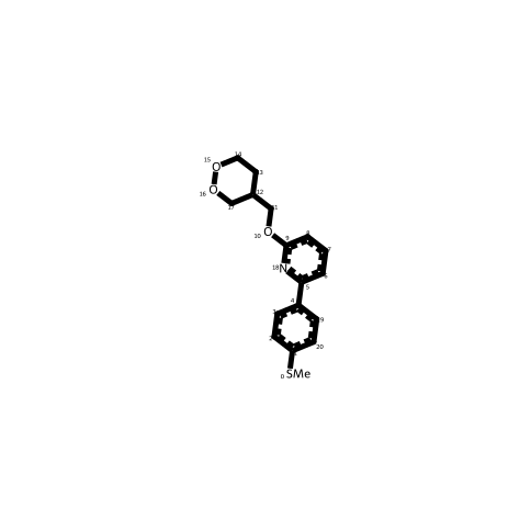 CSc1ccc(-c2cccc(OCC3CCOOC3)n2)cc1